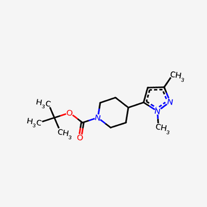 Cc1cc(C2CCN(C(=O)OC(C)(C)C)CC2)n(C)n1